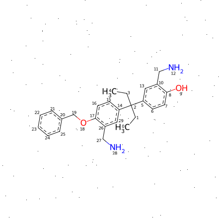 CCC(CC)(c1ccc(O)c(CN)c1)c1ccc(OCc2ccccc2)c(CN)c1